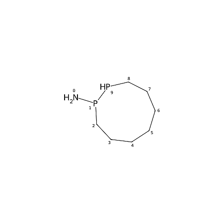 NP1CCCCCCCP1